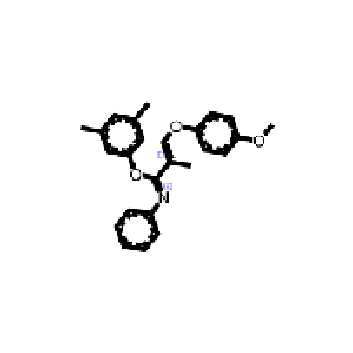 COc1ccc(O/C=C(C)/C(=N/c2ccccc2)Oc2cc(C)cc(C)c2)cc1